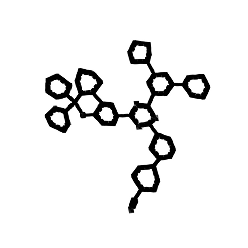 N#Cc1ccc(-c2cccc(-c3nc(-c4cc(-c5ccccc5)cc(-c5ccccc5)c4)nc(-c4ccc5c(c4)-c4ccccc4C(c4ccccc4)(c4ccccc4)O5)n3)c2)cc1